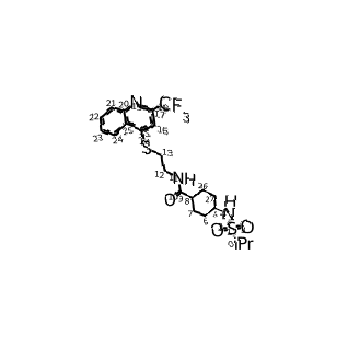 CC(C)S(=O)(=O)NC1CCC(C(=O)NCCSc2cc(C(F)(F)F)nc3ccccc23)CC1